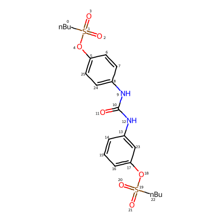 CCCCS(=O)(=O)Oc1ccc(NC(=O)Nc2cccc(OS(=O)(=O)CCCC)c2)cc1